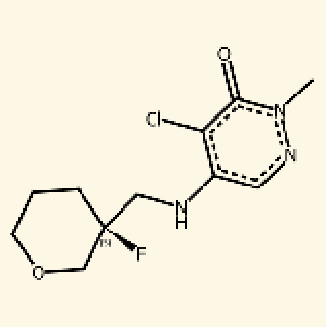 Cn1ncc(NC[C@@]2(F)CCCOC2)c(Cl)c1=O